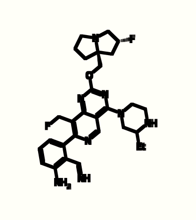 CCC1CN(c2nc(OC[C@@]34CCCN3C[C@H](F)C4)nc3c(CF)c(-c4cccc(N)c4C=N)ncc23)CCN1